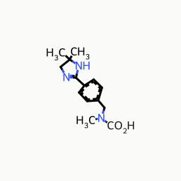 CN(Cc1ccc(C2=NCC(C)(C)N2)cc1)C(=O)O